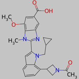 COc1cc(C(=O)O)cc2nc(-c3cc4cccc(C5CN(C(C)=O)C5)c4n3CC3CC3)n(C)c12